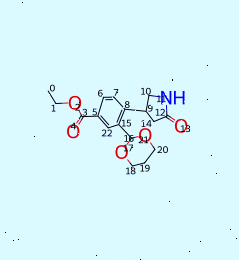 CCOC(=O)c1ccc(C2CNC(=O)C2)c(C2OCCCO2)c1